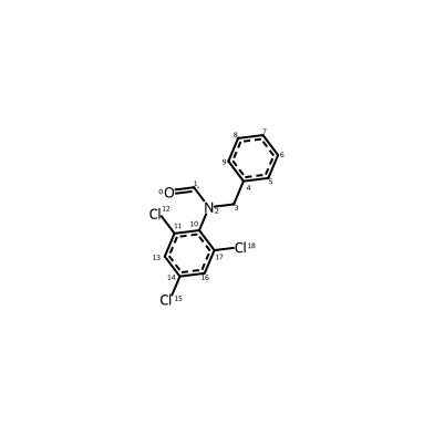 O=[C]N(Cc1ccccc1)c1c(Cl)cc(Cl)cc1Cl